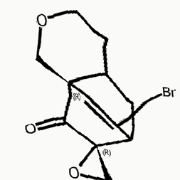 O=C1[C@@]23C=C(Br)C(CC2CCOC3)[C@@]12CO2